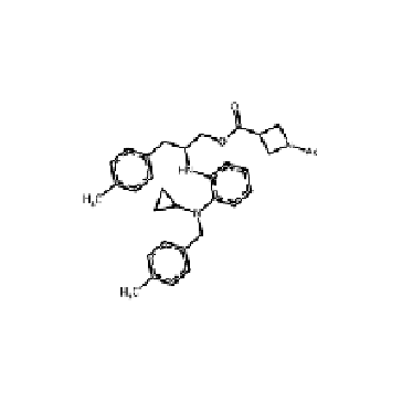 CC(=O)N1CC(C(=O)OCC(Cc2ccc(C)cc2)Nc2ccccc2N(Cc2ccc(C)cc2)C2CC2)C1